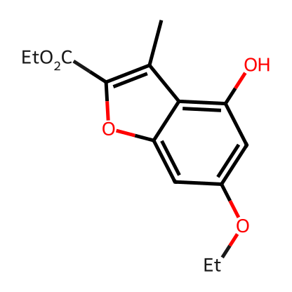 CCOC(=O)c1oc2cc(OCC)cc(O)c2c1C